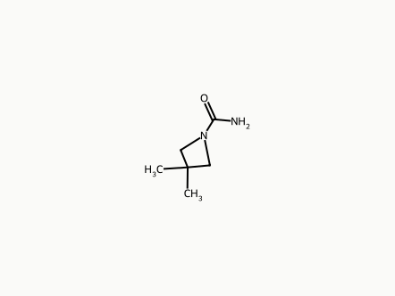 CC1(C)CN(C(N)=O)C1